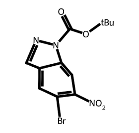 CC(C)(C)OC(=O)n1ncc2cc(Br)c([N+](=O)[O-])cc21